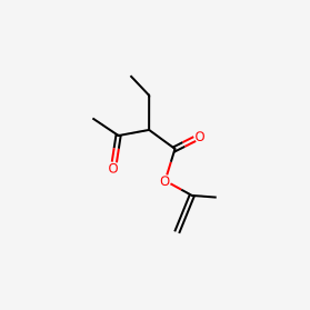 C=C(C)OC(=O)C(CC)C(C)=O